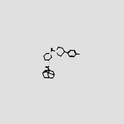 O=C(N1CCC(c2ccc(F)cc2)CC1)N1CCC[C@H](NC(=O)C23CC4CC(C2)C(O)C(C4)C3)C1